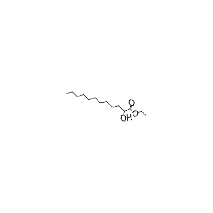 CCCCCCCCCCC(O)C(=O)OCC